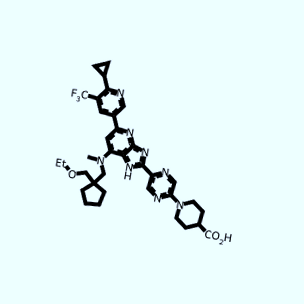 CCOCC1(CN(C)c2cc(-c3cnc(C4CC4)c(C(F)(F)F)c3)nc3nc(-c4cnc(N5CCC(C(=O)O)CC5)cn4)[nH]c23)CCCC1